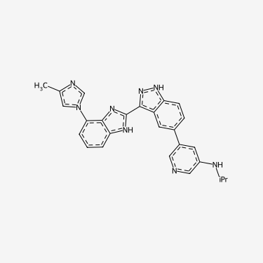 Cc1cn(-c2cccc3[nH]c(-c4n[nH]c5ccc(-c6cncc(NC(C)C)c6)cc45)nc23)cn1